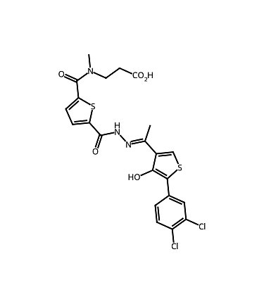 CC(=NNC(=O)c1ccc(C(=O)N(C)CCC(=O)O)s1)c1csc(-c2ccc(Cl)c(Cl)c2)c1O